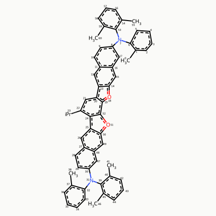 Cc1ccccc1N(c1ccc2cc3c(cc2c1)oc1c3cc(C(C)C)c2c3cc4ccc(N(c5ccccc5C)c5c(C)cccc5C)cc4cc3oc12)c1c(C)cccc1C